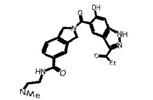 CCC(=O)c1n[nH]c2cc(O)c(C(=O)N3Cc4ccc(C(=O)NCCNC)cc4C3)cc12